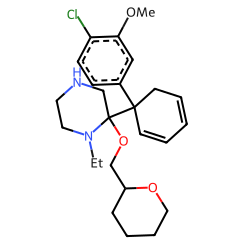 CCN1CCNCC1(OCC1CCCCO1)C1(c2ccc(Cl)c(OC)c2)C=CC=CC1